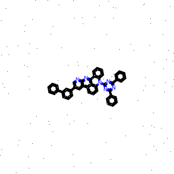 c1ccc(-c2cccc(-c3cnc4nc5c6c(cccc6c4c3)N(c3nc(-c4ccccc4)nc(-c4ccccc4)n3)c3ccccc3-5)c2)cc1